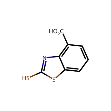 O=C(O)c1cccc2sc(S)nc12